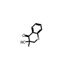 CC1(C#N)CSc2ccccc2C1=O